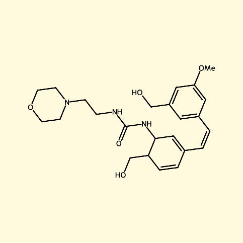 COc1cc(/C=C\C2=CC(NC(=O)NCCN3CCOCC3)C(CO)C=C2)cc(CO)c1